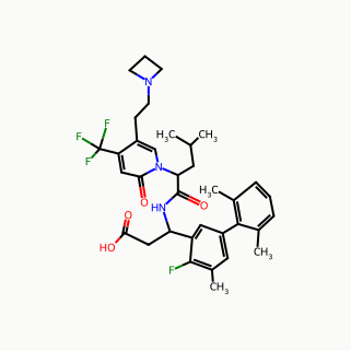 Cc1cc(-c2c(C)cccc2C)cc(C(CC(=O)O)NC(=O)C(CC(C)C)n2cc(CCN3CCC3)c(C(F)(F)F)cc2=O)c1F